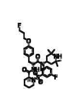 CC1(C)CC(NC(=O)[C@H](Cc2ccc(OCCCF)cc2)NC(=O)[C@@H]2CCCCN2S(=O)(=O)c2cccc(F)c2)CC(C)(C)N1